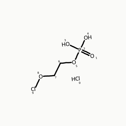 Cl.O=P(O)(O)OCCOCl